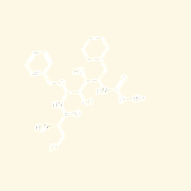 CC(C)C[C@H](N)C(=O)NC(OCc1ccccc1)[C@@H](O)[C@H](O)[C@H](CC1CCCCC1)NC(=O)OC(C)(C)C